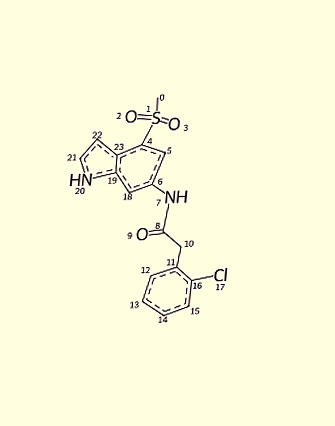 CS(=O)(=O)c1cc(NC(=O)Cc2ccccc2Cl)cc2[nH]ccc12